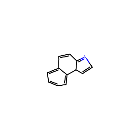 C1=CC2C(=N1)C=Cc1ccccc12